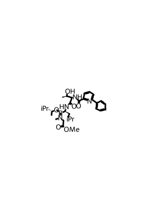 COC(=O)CN(C)B(O[C@H](C)C(C)C)[C@H](CC(C)C)NC(=O)[C@@H](NC(=O)c1cccc(-c2ccccc2)n1)[C@@H](C)O